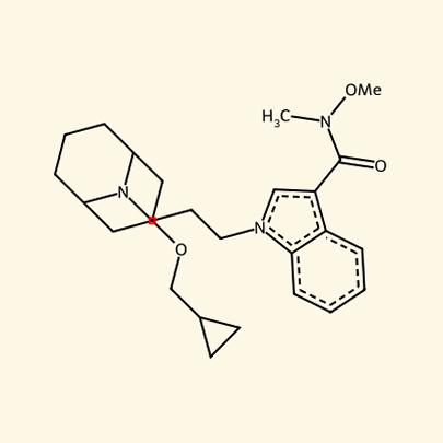 CON(C)C(=O)c1cn(CCCN2C3CCCC2CC(OCC2CC2)C3)c2ccccc12